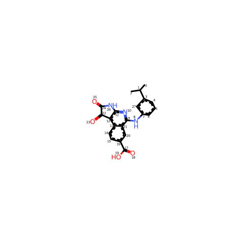 CC(C)c1cccc(Nc2nc3c(c4ccc(C(=O)O)cc24)C(=O)C(=O)N3)c1